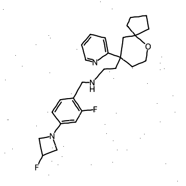 Fc1cc(N2CC(F)C2)ccc1CNCCC1(c2ccccn2)CCOC2(CCCC2)C1